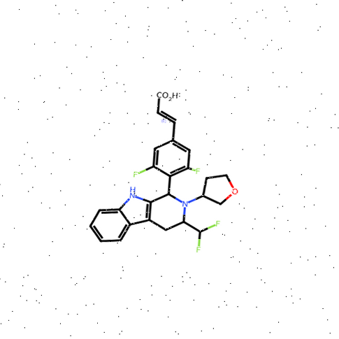 O=C(O)/C=C/c1cc(F)c(C2c3[nH]c4ccccc4c3CC(C(F)F)N2C2CCOC2)c(F)c1